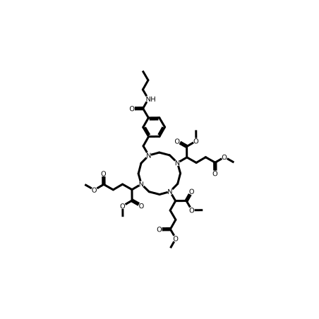 CCCNC(=O)c1cccc(CN2CCN(C(CCC(=O)OC)C(=O)OC)CCN(C(CCC(=O)OC)C(=O)OC)CCN(C(CCC(=O)OC)C(=O)OC)CC2)c1